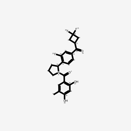 Cc1cc(C(=O)N2CCCC2c2ccc(C(=O)C3CC(F)(F)C3)cc2F)c(O)cc1O